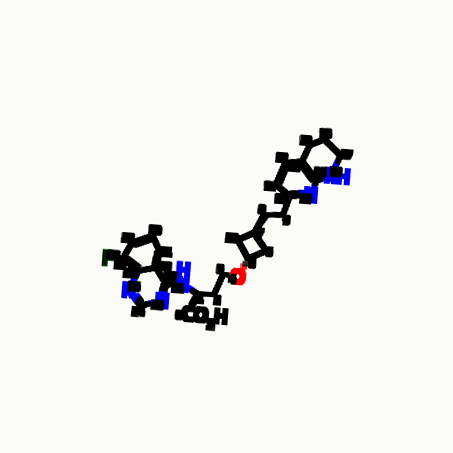 O=C(O)[C@H](CCO[C@H]1C[C@H](CCc2ccc3c(n2)NCCC3)C1)Nc1ncnc2c(F)cccc12